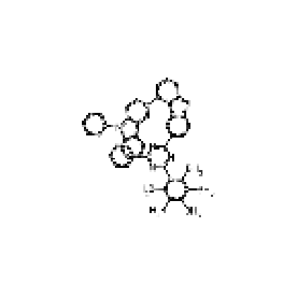 Bc1c(B)c(B)c(-c2nc(-c3ccccc3)nc(-c3ccc4sc5cccc(-c6ccc7c(c6)c6ccccc6n7-c6ccccc6)c5c4c3)n2)c(B)c1B